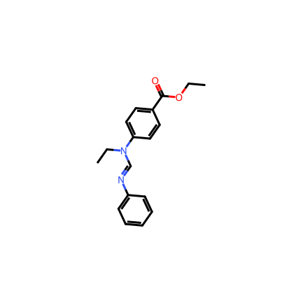 CCOC(=O)c1ccc(N(C=Nc2ccccc2)CC)cc1